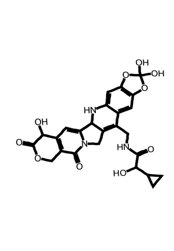 O=C1OCc2c(cc3n(c2=O)CC2=C(CNC(=O)C(O)C4CC4)c4cc5c(cc4NC23)OC(O)(O)O5)C1O